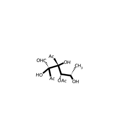 CC(=O)O[C@@H]([C@H](C)O)[C@](O)(C(C)=O)[C@@](O)(C=O)C(C)=O